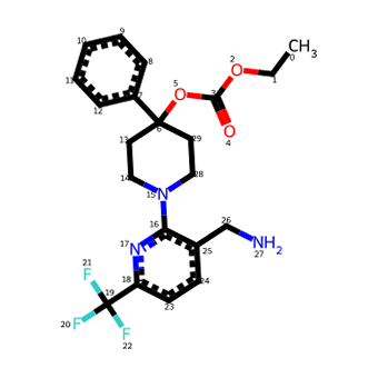 CCOC(=O)OC1(c2ccccc2)CCN(c2nc(C(F)(F)F)ccc2CN)CC1